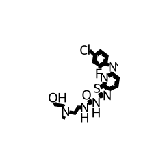 CN(CCO)CCNC(=O)Nc1nc2ccc(N(C)c3ccc(Cl)cc3F)nc2s1